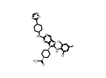 NC(=O)[C@H]1CC[C@@H](n2c(Nc3c(Cl)cc(F)cc3Cl)nc3cnc(NC4CCC(c5ncno5)CC4)nc32)CC1